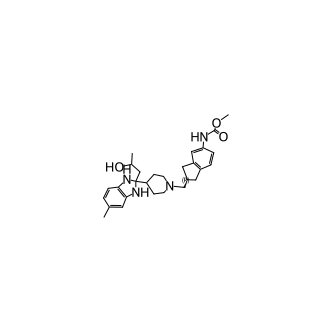 COC(=O)Nc1ccc2c(c1)C[C@H](CN1CCC(C3(CC(C)O)Nc4ccc(C)cc4N3)CC1)C2